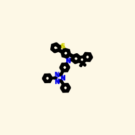 CC1(C)c2ccccc2-c2cc3c4cc5sc6ccccc6c5cc4n(-c4ccc(-c5nc(-c6ccccc6)nc(-c6ccccc6)n5)cc4)c3cc21